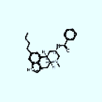 CCCCc1cc2c3c(c[nH]c3c1)C[C@@H]1[C@@H]2C[C@@H](NC(=O)c2ccccc2)CN1C